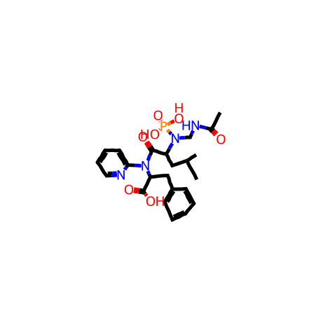 CC(=O)NCN(C(CC(C)C)C(=O)N(c1ccccn1)C(Cc1ccccc1)C(=O)O)P(=O)(O)O